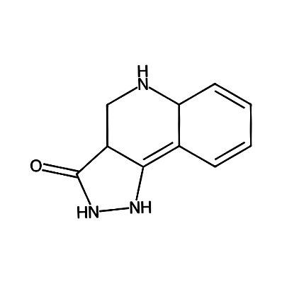 O=C1NNC2=C3C=CC=CC3NCC12